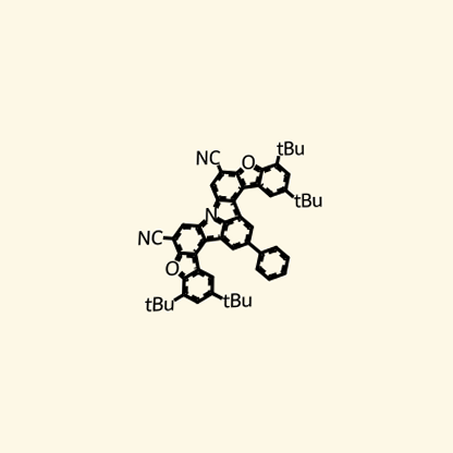 CC(C)(C)c1cc(C(C)(C)C)c2oc3c(C#N)cc4c(c5cc(-c6ccccc6)cc6c7c8c(oc9c(C(C)(C)C)cc(C(C)(C)C)cc98)c(C#N)cc7n4c56)c3c2c1